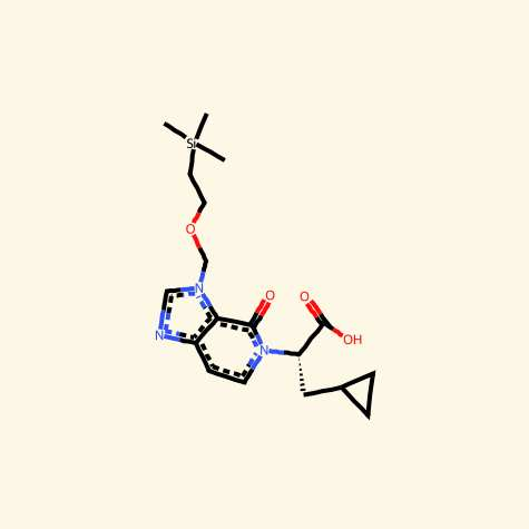 C[Si](C)(C)CCOCn1cnc2ccn([C@@H](CC3CC3)C(=O)O)c(=O)c21